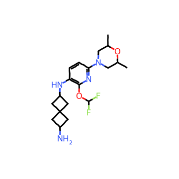 CC1CN(c2ccc(NC3CC4(CC(N)C4)C3)c(OC(F)F)n2)CC(C)O1